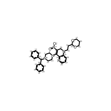 O=[N+]([O-])C1=C(N2CCN(C(c3ccccc3)c3ccccc3)CC2)c2ncccc2N(CCC2OCCCO2)C1